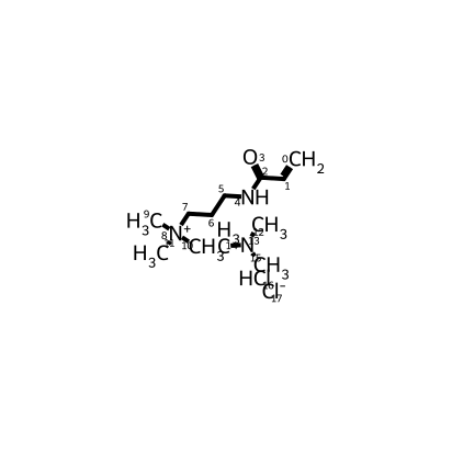 C=CC(=O)NCCC[N+](C)(C)C.CN(C)C.Cl.[Cl-]